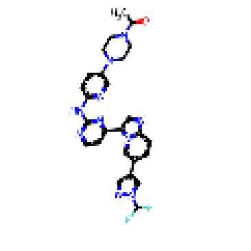 CC(=O)N1CCN(c2ccc(Nc3nccc(-c4cnc5ccc(-c6cnn(C(F)F)c6)cn45)n3)nc2)CC1